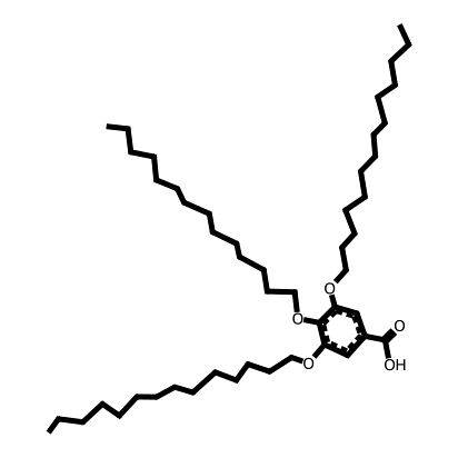 CCCCCCCCCCCCCCOc1cc(C(=O)O)cc(OCCCCCCCCCCCCCC)c1OCCCCCCCCCCCCCC